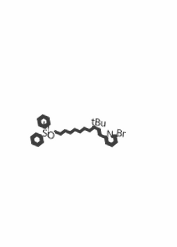 CC(C)(C)C(C=Cc1cccc(Br)n1)CCCCCCCCO[SiH](c1ccccc1)c1ccccc1